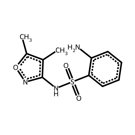 Cc1onc(NS(=O)(=O)c2ccccc2N)c1C